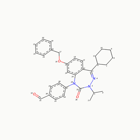 CC(C)N1N=C(C2CCCCC2)c2ccc(OCc3ccccc3)cc2N(c2ccc(C=O)cc2)C1=O